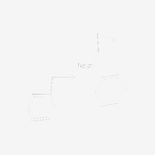 c1ccc(CO/N=C(\c2ccccc2)C2CC2)cc1